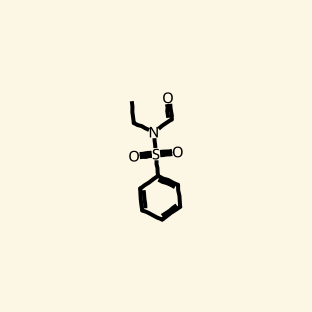 CCN(C=O)S(=O)(=O)c1ccccc1